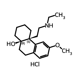 CCNCC[C@]12CCCC[C@@]1(O)CCc1ccc(OC)cc12.Cl